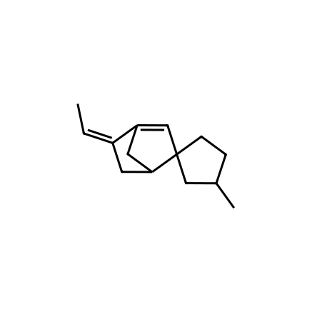 CC=C1CC2CC1=CC21CCC(C)C1